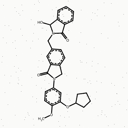 COc1ccc(N2Cc3ccc(CN4C(=O)c5ccccc5C4O)cc3C2=O)cc1OC1CCCC1